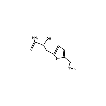 CCCCCSc1ccc(CN(O)C(N)=S)s1